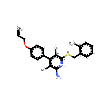 C=CCOc1ccc(-c2c(C#N)c(N)nc(SCc3ccccc3[N+](=O)[O-])c2C#N)cc1